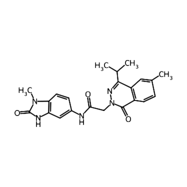 Cc1ccc2c(=O)n(CC(=O)Nc3ccc4c(c3)[nH]c(=O)n4C)nc(C(C)C)c2c1